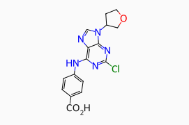 O=C(O)c1ccc(Nc2nc(Cl)nc3c2ncn3C2CCOC2)cc1